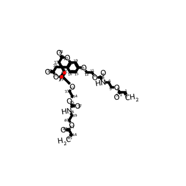 C=CC(=O)OCCNC(=O)OCCOc1ccc2c(c1)OC(=O)CC21CC(=O)Oc2cc(OCCOC(=O)NCCOC(=O)C=C)ccc21